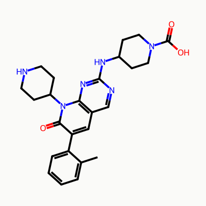 Cc1ccccc1-c1cc2cnc(NC3CCN(C(=O)O)CC3)nc2n(C2CCNCC2)c1=O